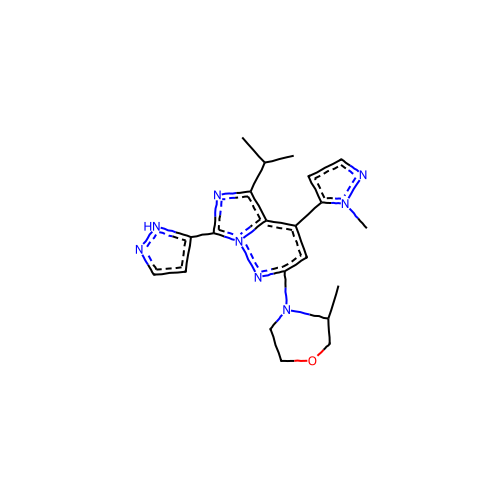 CC(C)c1nc(-c2ccn[nH]2)n2nc(N3CCOCC3C)cc(-c3ccnn3C)c12